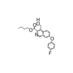 CCCCOC(=O)c1ncc2cc(Oc3ccc(F)cc3)ccc2c1CO